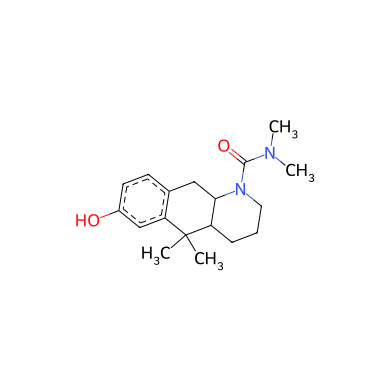 CN(C)C(=O)N1CCCC2C1Cc1ccc(O)cc1C2(C)C